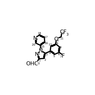 O=Cc1cc(-c2cc(F)cc(OCC(F)(F)F)c2)n(-c2cccnc2)n1